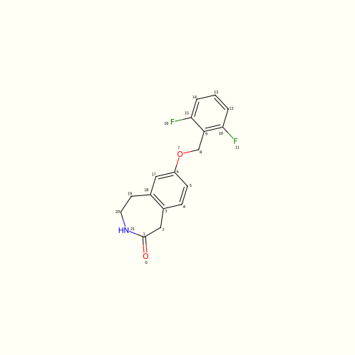 O=C1Cc2ccc(OCc3c(F)cccc3F)cc2CCN1